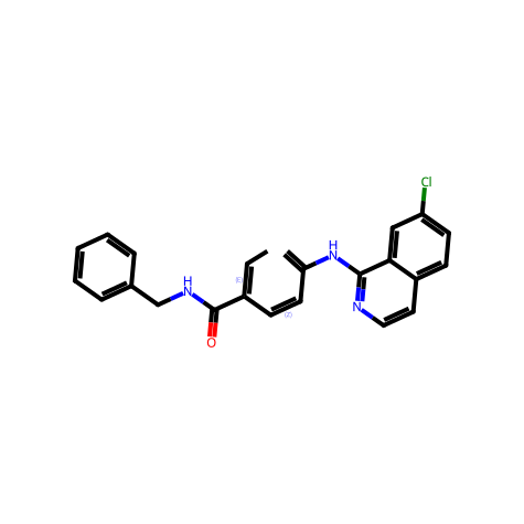 C=C(/C=C\C(=C/C)C(=O)NCc1ccccc1)Nc1nccc2ccc(Cl)cc12